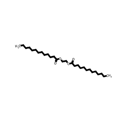 CCCCCCCCCCCCC(=O)OCCOC(=O)CCCCCCCCCCCC